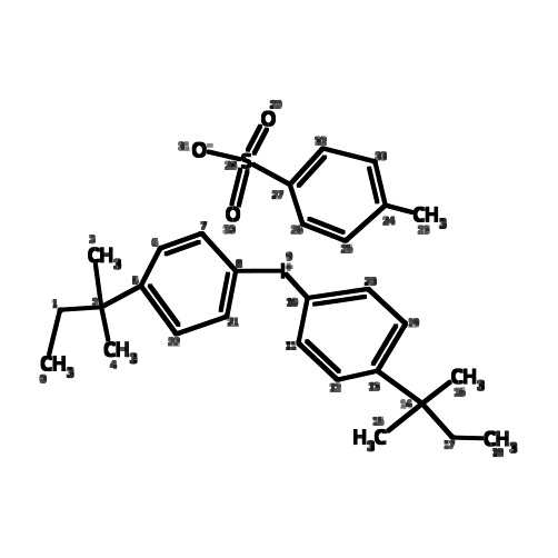 CCC(C)(C)c1ccc([I+]c2ccc(C(C)(C)CC)cc2)cc1.Cc1ccc(S(=O)(=O)[O-])cc1